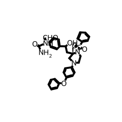 C[C@]1(CC(O)c2ccccc2)CN(c2ccc(Oc3ccccc3)cc2)CCN1S(=O)(=O)c1ccccc1.NC(=O)NC=O